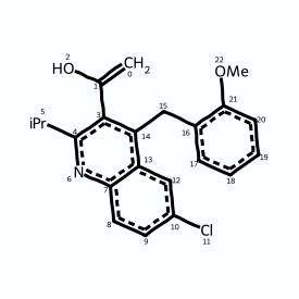 C=C(O)c1c(C(C)C)nc2ccc(Cl)cc2c1Cc1ccccc1OC